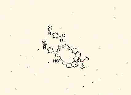 [N-]=[N+]=Nc1ccc(C(=O)OCC(O)COc2ccc3ccc(OCC4CO4)c(Cc4c(OCC5CO5)ccc5ccc(OCC(O)COC(=O)c6ccc(N=[N+]=[N-])cc6)cc45)c3c2)cc1